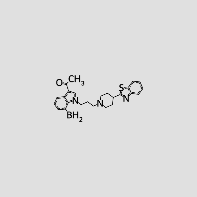 Bc1cccc2c(C(C)=O)cn(CCCN3CCC(c4nc5ccccc5s4)CC3)c12